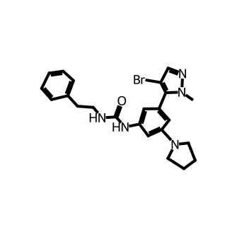 Cn1ncc(Br)c1-c1cc(NC(=O)NCCc2ccccc2)cc(N2CCCC2)c1